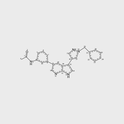 CC(=O)Nc1cccc(-c2cnc3[nH]cc(-c4cnn(Cc5ccccc5)c4)c3c2)c1